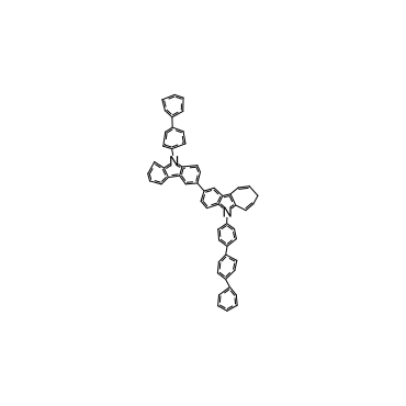 C1=Cc2c(n(-c3ccc(-c4ccc(-c5ccccc5)cc4)cc3)c3ccc(-c4ccc5c(c4)c4ccccc4n5-c4ccc(-c5ccccc5)cc4)cc23)C=CC1